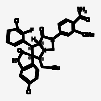 COc1cc(N2CN3[C@@H](CC(C)(C)C)[C@@]4(C(=O)Nc5cc(Cl)ccc54)[C@@H](c4cccc(Cl)c4F)[C@@H]3C2=O)ccc1C(N)=O